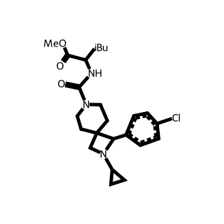 CCC(C)C(NC(=O)N1CCC2(CC1)CN(C1CC1)C2c1ccc(Cl)cc1)C(=O)OC